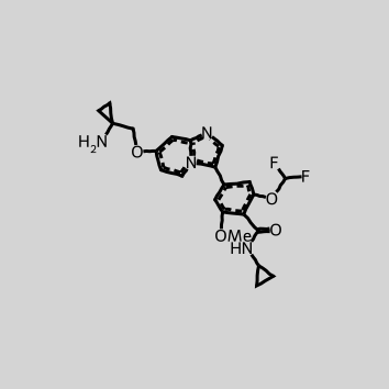 COc1cc(-c2cnc3cc(OCC4(N)CC4)ccn23)cc(OC(F)F)c1C(=O)NC1CC1